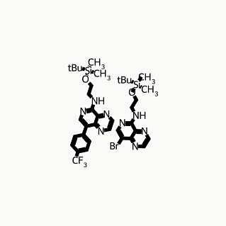 CC(C)(C)[Si](C)(C)OCCNc1ncc(-c2ccc(C(F)(F)F)cc2)c2nccnc12.CC(C)(C)[Si](C)(C)OCCNc1ncc(Br)c2nccnc12